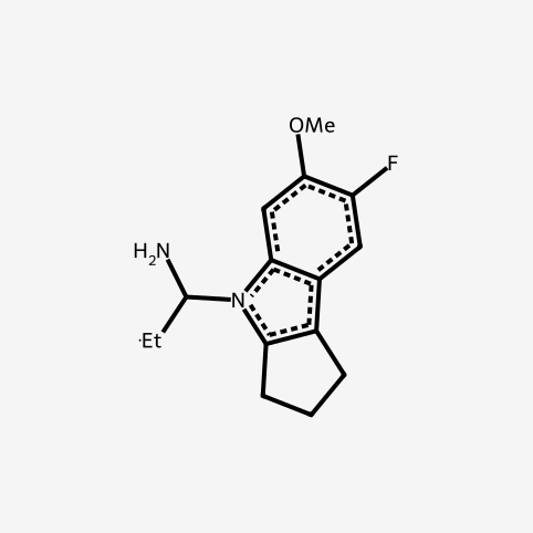 C[CH]C(N)n1c2c(c3cc(F)c(OC)cc31)CCC2